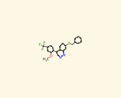 COc1cc(C(F)(F)F)ccc1-c1cnnc2cc(SCc3ccccc3)ccc12